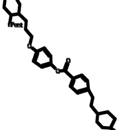 CCCCCC1CCC(CCc2ccc(C(=O)Oc3ccc(OCCCC4CCCCC4CCCCC)cc3)cc2)CC1